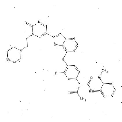 COc1ccccc1NC(=O)C(C(N)=O)c1ccc(Oc2ccnc3cc(-c4cnc(=O)n(CCN5CCOCC5)c4)sc23)c(F)c1